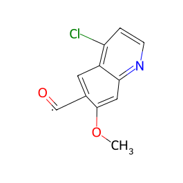 COc1cc2nccc(Cl)c2cc1[C]=O